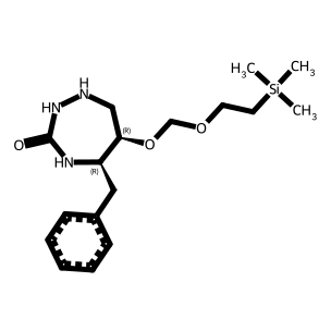 C[Si](C)(C)CCOCO[C@@H]1CNNC(=O)N[C@@H]1Cc1ccccc1